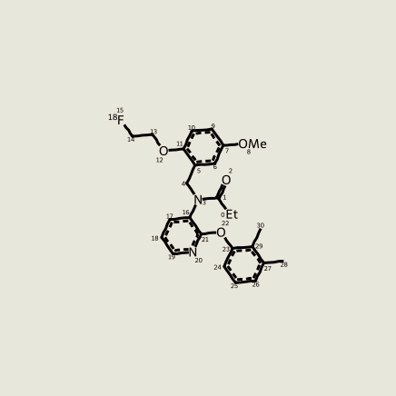 CCC(=O)N(Cc1cc(OC)ccc1OCC[18F])c1cccnc1Oc1cccc(C)c1C